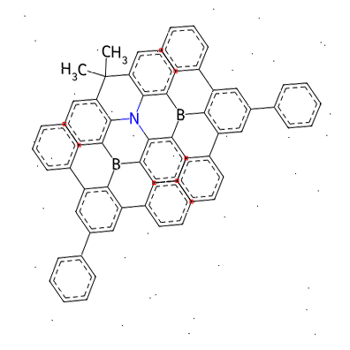 CC1(C)c2cccc3c2N2c4c(cccc4B(c4c(-c5ccccc5)cc(-c5ccccc5)cc4-c4ccccc4)c4cccc1c42)B3c1c(-c2ccccc2)cc(-c2ccccc2)cc1-c1ccccc1